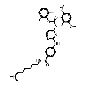 COc1ccc(OC)c(CN(C(=O)Oc2c(C)cccc2C)c2ccnc(Nc3ccc(C(=O)NCCCCCCN(C)C)cc3)n2)c1